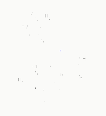 Cc1cncc2c1c(/C=C1\CCCN(C(=O)OC(C)(C)C)CC1)cn2-c1ccc(F)cc1C(=O)N(C)C(C)C